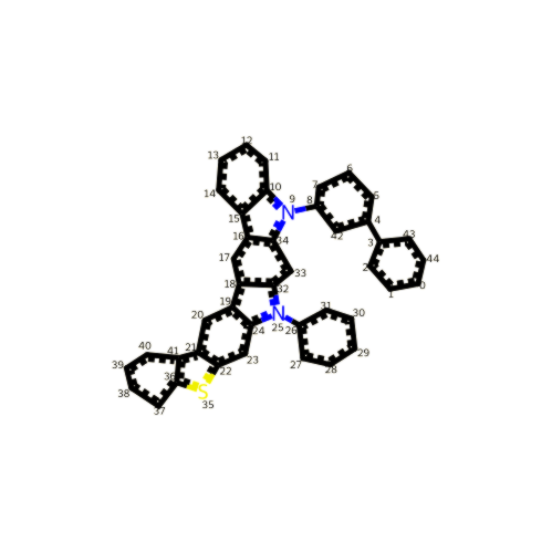 c1ccc(-c2cccc(-n3c4ccccc4c4cc5c6cc7c(cc6n(-c6ccccc6)c5cc43)sc3ccccc37)c2)cc1